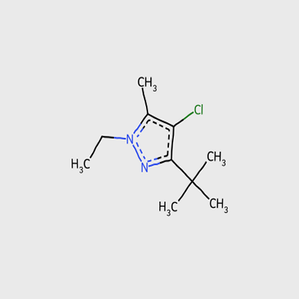 CCn1nc(C(C)(C)C)c(Cl)c1C